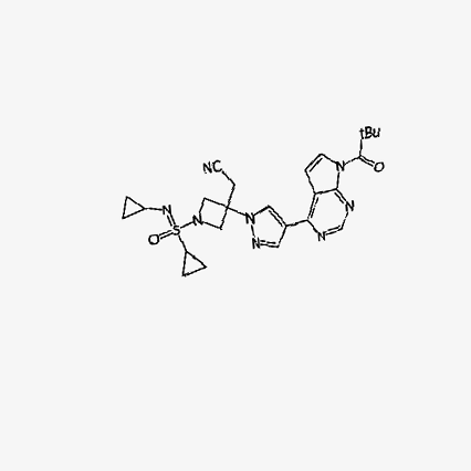 CC(C)(C)C(=O)n1ccc2c(-c3cnn(C4(CC#N)CN(S(=O)(=NC5CC5)C5CC5)C4)c3)ncnc21